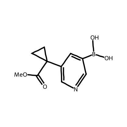 COC(=O)C1(c2cncc(B(O)O)c2)CC1